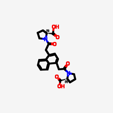 O=C(O)[C@H]1CCCN1C(=O)Cc1ccc(CC(=O)N2CCC[C@@H]2C(=O)O)c2ccccc12